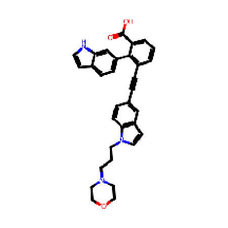 O=C(O)c1cccc(C#Cc2ccc3c(ccn3CCCN3CCOCC3)c2)c1-c1ccc2cc[nH]c2c1